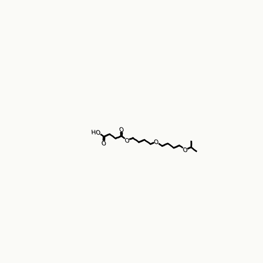 CC(C)OCCCCOCCCCOC(=O)CCC(=O)O